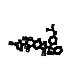 CCn1cnc(NC(=O)c2cc3c(nc2OC)nc(C(O)(c2ccccc2)c2ccc(OC(F)F)cc2)n3CC)n1